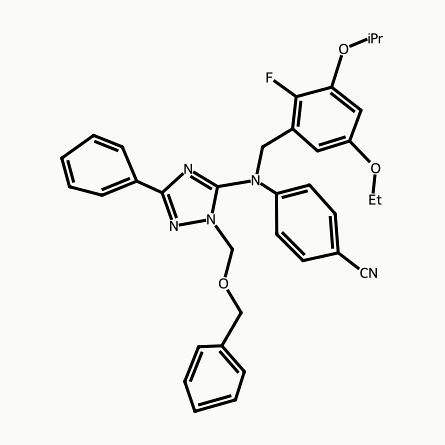 CCOc1cc(CN(c2ccc(C#N)cc2)c2nc(-c3ccccc3)nn2COCc2ccccc2)c(F)c(OC(C)C)c1